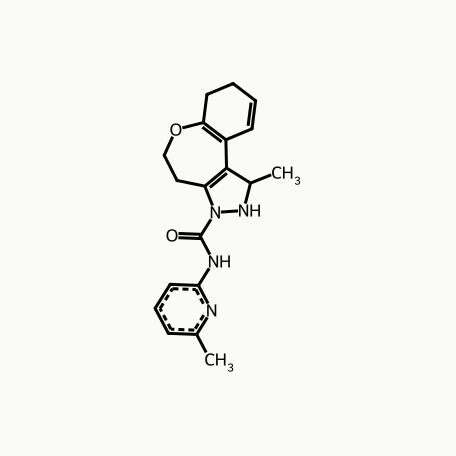 Cc1cccc(NC(=O)N2NC(C)C3=C2CCOC2=C3C=CCC2)n1